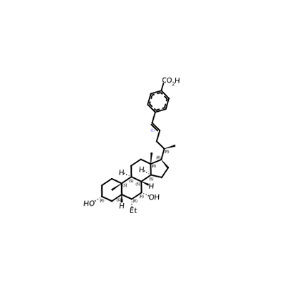 CC[C@H]1[C@@H](O)[C@@H]2[C@H](CC[C@]3(C)[C@@H]([C@H](C)C/C=C/c4ccc(C(=O)O)cc4)CC[C@@H]23)[C@@]2(C)CC[C@@H](O)C[C@@H]12